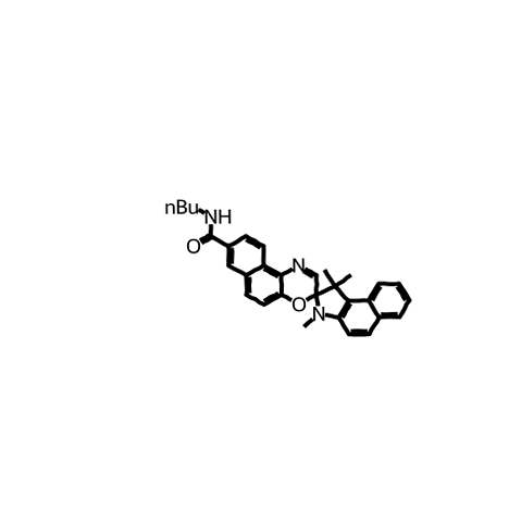 CCCCNC(=O)c1ccc2c3c(ccc2c1)OC1(C=N3)N(C)c2ccc3ccccc3c2C1(C)C